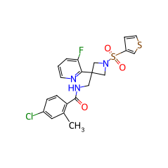 Cc1cc(Cl)ccc1C(=O)NCC1(c2ncccc2F)CN(S(=O)(=O)c2ccsc2)C1